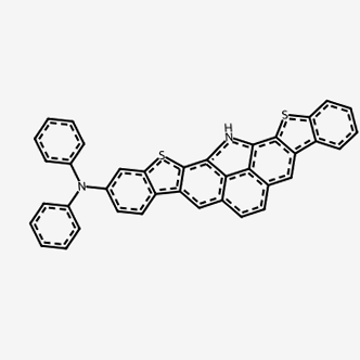 c1ccc(N(c2ccccc2)c2ccc3c(c2)sc2c3cc3ccc4cc5c6ccccc6sc5c5[nH]c2c3c45)cc1